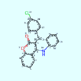 O=c1oc2ccccc2c(Nc2ccccc2)c1[Se]c1ccc(Cl)cc1